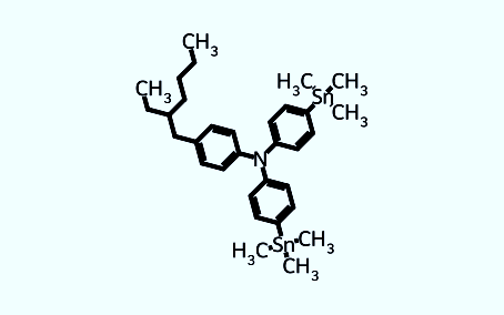 CCCCC(CC)Cc1ccc(N(c2cc[c]([Sn]([CH3])([CH3])[CH3])cc2)c2cc[c]([Sn]([CH3])([CH3])[CH3])cc2)cc1